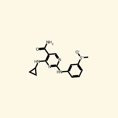 C[S+]([O-])c1cccc(Nc2ncc(C(N)=O)c(NC3CC3)n2)c1